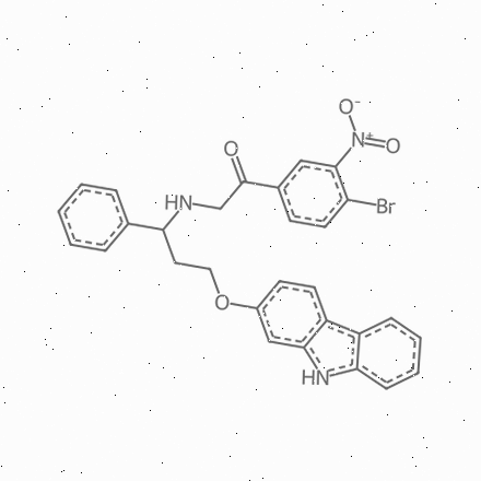 O=C(CNC(CCOc1ccc2c(c1)[nH]c1ccccc12)c1ccccc1)c1ccc(Br)c([N+](=O)[O-])c1